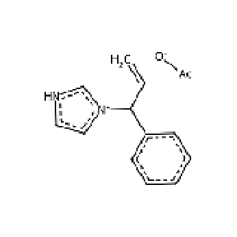 C=CC(c1ccccc1)[n+]1cc[nH]c1.CC(=O)[O-]